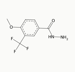 COc1ccc(C(=O)NN)cc1C(F)(F)F